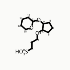 O=S(=O)(O)CCCOC1CCCC1OC1CCCCO1